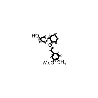 COc1cc(CCO[C@H]2CCCCC2N2CCC(O)C2)ccc1C